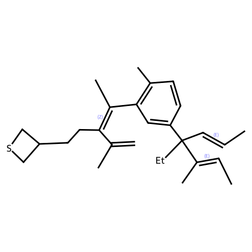 C=C(C)/C(CCC1CSC1)=C(/C)c1cc(C(/C=C/C)(CC)/C(C)=C/C)ccc1C